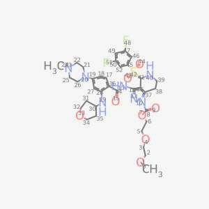 COCCOCCOC(=O)n1nc(NC(=O)c2ccc(N3CCN(C)CC3)cc2NC2CCOCC2)c2c1CCNC2S(=O)(=O)c1cc(F)cc(F)c1